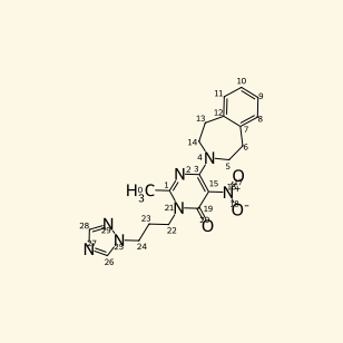 Cc1nc(N2CCc3ccccc3CC2)c([N+](=O)[O-])c(=O)n1CCCn1cncn1